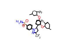 CC1CCC(C(C)C)C(Oc2ccc(C3CC(C(F)(F)F)=NN3c3ccc(S(N)(=O)=O)cc3)c(OC3CC(C)CCC3C(C)C)c2)C1